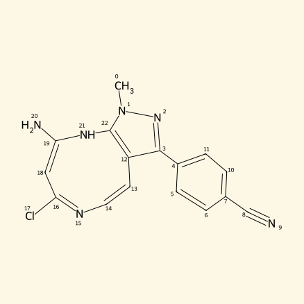 Cn1nc(-c2ccc(C#N)cc2)c2ccnc(Cl)cc(N)[nH]c21